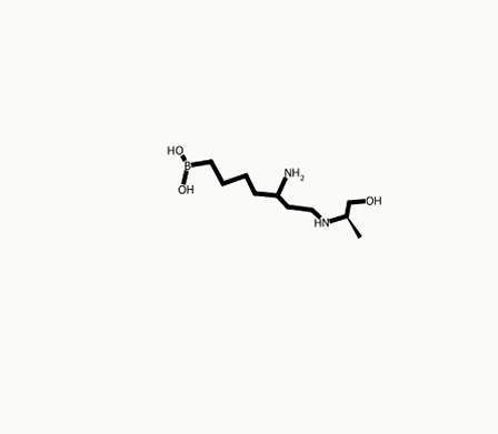 C[C@H](CO)NCCC(N)CCCCB(O)O